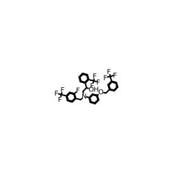 OC(CN(Cc1ccc(C(F)(F)F)cc1F)c1cccc(OCc2cccc(C(F)(F)F)c2)c1)c1ccccc1C(F)(F)F